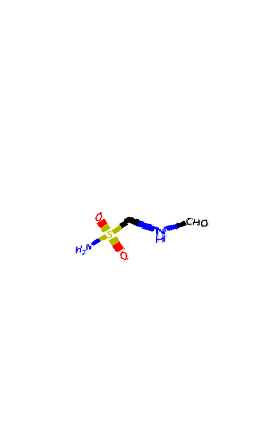 NS(=O)(=O)CNC=O